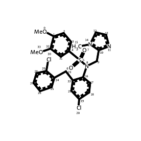 COc1ccc(S(=O)(=O)N(Cc2nccn2C)c2ccc(Cl)cc2Cc2ccccc2Cl)cc1OC